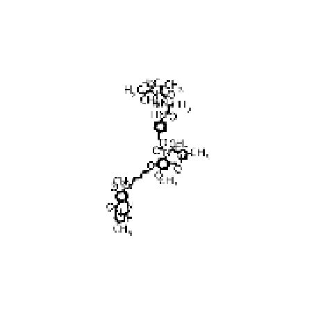 COc1cc2c(cc1OCCCCCOc1cc3c(cc1OC)C(=O)N1C=C(C)C[C@H]1C(C)N3C(=O)OCc1ccc(NC(=O)[C@H](C)NC(=O)[C@@H](NC(=O)C(C)C)C(C)C)cc1)N=C[C@@H]1CC(C)=CN1C2=O